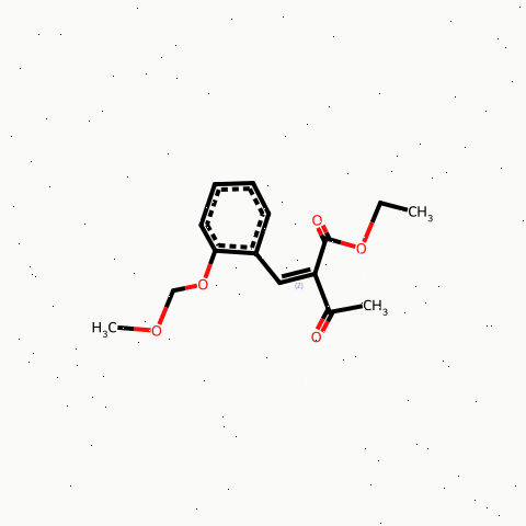 CCOC(=O)/C(=C\c1ccccc1OCOC)C(C)=O